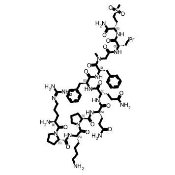 CC(C)C[C@H](NC(=O)CN(C)C(=O)[C@H](Cc1ccccc1)NC(=O)[C@H](Cc1ccccc1)NC(=O)[C@H](CCC(N)=O)NC(=O)[C@H](CCC(N)=O)NC(=O)[C@@H]1CCCN1C(=O)[C@H](CCCCN)NC(=O)[C@@H]1CCCN1C(=O)[C@@H](N)CCCN=C(N)N)C(=O)N[C@@H](CCS(C)(=O)=O)C(N)=O